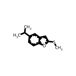 CSc1cc2cc(C(C)C)ccc2o1